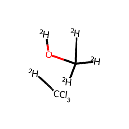 [2H]C(Cl)(Cl)Cl.[2H]OC([2H])([2H])[2H]